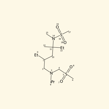 CCC(CN(CS(C)(=O)=O)C(C)C)CC(C)(CC)N(C)S(C)(=O)=O